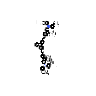 Cc1cccc(N(c2cccc(C)c2)c2ccc3c(c2)C(C)(C)c2cc(/C=C/c4ccc5c6ccc(/C=C/c7ccc8c(c7)C(C)(C)C7=C8C=CC(N(c8cccc(C)c8)c8cccc(C)c8)C7)cc6c6ccccc6c5c4)ccc2-3)c1